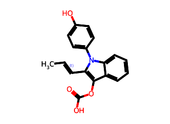 C/C=C/c1c(OC(=O)O)c2ccccc2n1-c1ccc(O)cc1